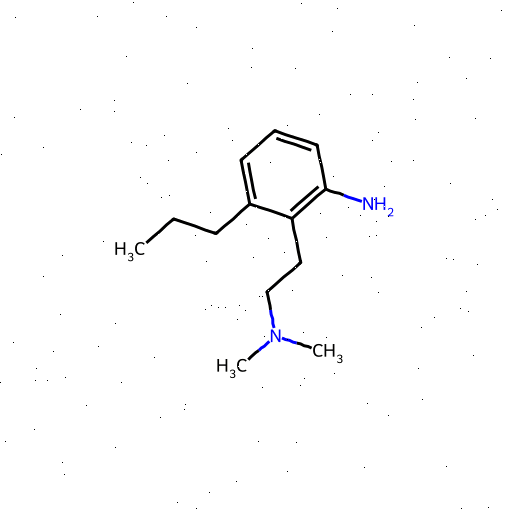 CCCc1cccc(N)c1CCN(C)C